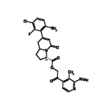 CC(=O)Nc1nccc(C(=O)COC(=O)[C@@H]2CCC3CC(c4c(N)ccc(Cl)c4F)=CC(=O)N32)c1C